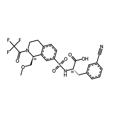 COC[C@@H]1c2cc(S(=O)(=O)N[C@@H](Cc3cccc(C#N)c3)C(=O)O)ccc2CCN1C(=O)C(F)(F)F